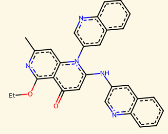 CCOc1nc(C)cc2c1c(=O)cc(Nc1cnc3ccccc3c1)n2-c1cnc2ccccc2c1